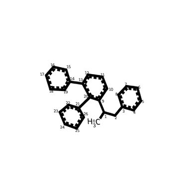 CC(Cc1ccccc1)c1cccc(-c2ccccc2)c1-c1ccccc1